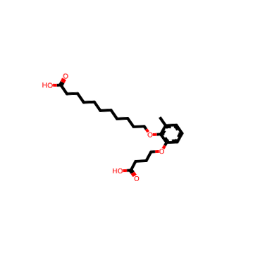 Cc1cccc(OCCCC(=O)O)c1OCCCCCCCCCCC(=O)O